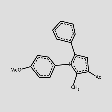 COc1ccc(-n2c(-c3ccccc3)cc(C(C)=O)c2C)cc1